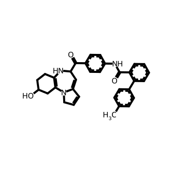 Cc1ccc(-c2ccccc2C(=O)Nc2ccc(C(=O)C3C=C4C=CCN4C4=C(CCC(O)C4)N3)cc2)cc1